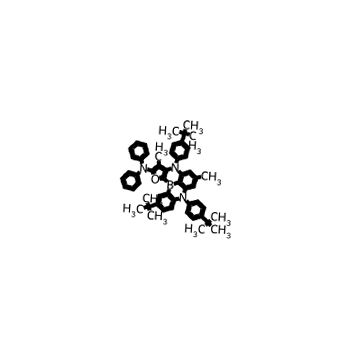 Cc1cc2c3c(c1)N(c1ccc(C(C)(C)C)cc1)c1c(oc(N(c4ccccc4)c4ccccc4)c1C)B3c1cc(C(C)(C)C)ccc1N2c1ccc(C(C)(C)C)cc1